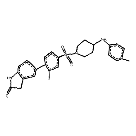 Cc1ccc(NC2CCN(S(=O)(=O)c3ccc(-c4ccc5c(c4)CC(=O)N5)c(C)c3)CC2)nc1